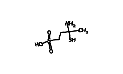 CC(N)(S)CCS(=O)(=O)O